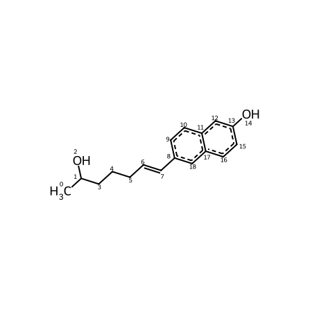 CC(O)CCCC=Cc1ccc2cc(O)ccc2c1